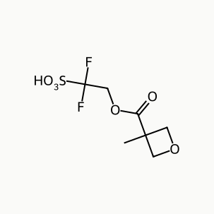 CC1(C(=O)OCC(F)(F)S(=O)(=O)O)COC1